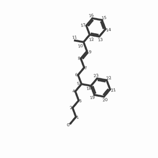 CCCCCC(CCC=CC(C)c1ccccc1)c1ccccc1